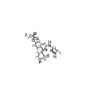 Cc1cc(Nc2cc3cc(OS(=O)(=O)C(F)(F)F)ccc3c(-c3ccc(F)cc3F)n2)n[nH]1